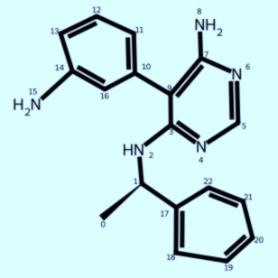 C[C@@H](Nc1ncnc(N)c1-c1cccc(N)c1)c1ccccc1